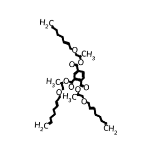 C=CCCCC=CCOCC(C)OC(=O)c1ccc(C(=O)OC(C)COCC=CCCCC=C)c(C(=O)OC(C)COCC=CCCCC=C)c1